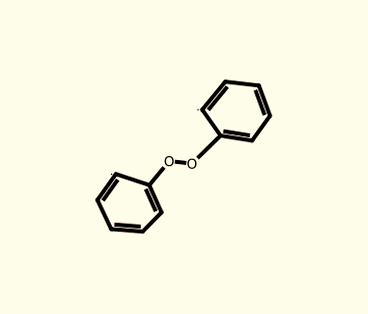 [c]1ccccc1OOc1[c]cccc1